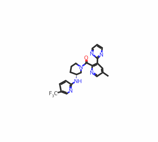 Cc1cnc(C(=O)N2CCC[C@@H](Nc3ccc(C(F)(F)F)cn3)C2)c(-c2ncccn2)c1